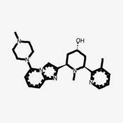 Cc1cccnc1[C@@H]1C[C@@H](O)C[C@H](c2cn3c(N4CCN(C)CC4)cccc3n2)N1C